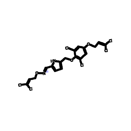 ClC(Cl)=CCO/N=C/c1ccc(COc2c(Cl)cc(OCC=C(Cl)Cl)cc2Cl)[nH]1